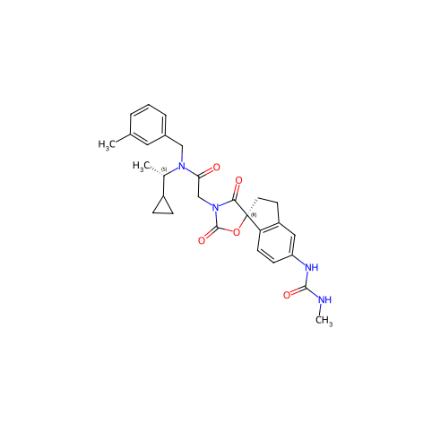 CNC(=O)Nc1ccc2c(c1)CC[C@@]21OC(=O)N(CC(=O)N(Cc2cccc(C)c2)[C@@H](C)C2CC2)C1=O